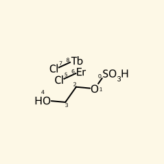 O=S(=O)(O)OCCO.[Cl][Er].[Cl][Tb]